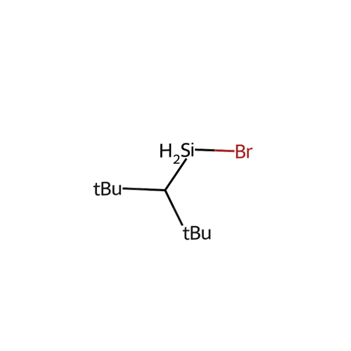 CC(C)(C)C([SiH2]Br)C(C)(C)C